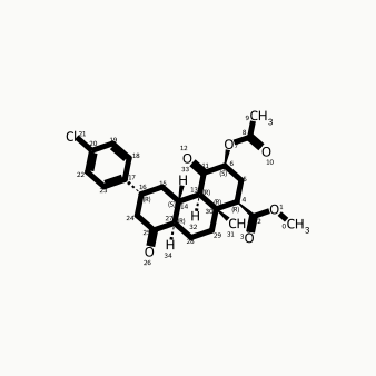 COC(=O)[C@@H]1C[C@H](OC(C)=O)C(=O)[C@@H]2[C@H]3C[C@@H](c4ccc(Cl)cc4)CC(=O)[C@@H]3CC[C@]21C